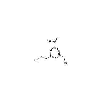 O=[N+]([O-])c1cc(CBr)cc(CCBr)c1